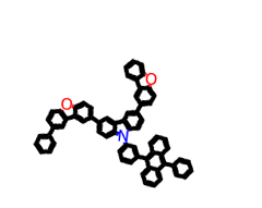 c1ccc(-c2ccc3oc4ccc(-c5ccc6c(c5)c5cc(-c7ccc8oc9ccccc9c8c7)ccc5n6-c5cccc(-c6c7ccccc7c(-c7ccccc7)c7ccccc67)c5)cc4c3c2)cc1